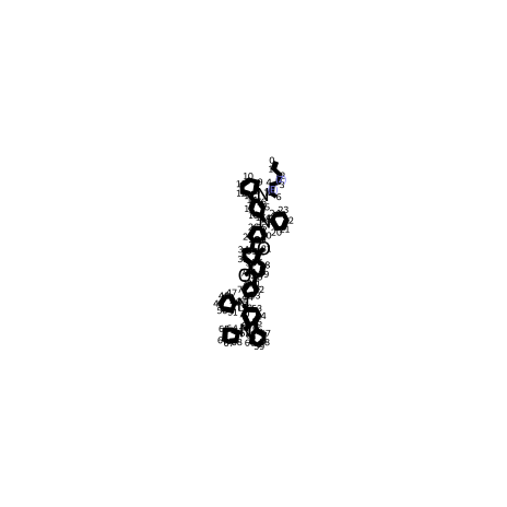 C=C/C=C\C=C(/C)n1c2ccccc2c2ccc(N(c3ccccc3)c3ccc4c(c3)oc3c4ccc4c3ccc3c5ccc(N(c6ccccc6)c6ccc7c8ccccc8n(-c8ccccc8)c7c6)cc5oc34)cc21